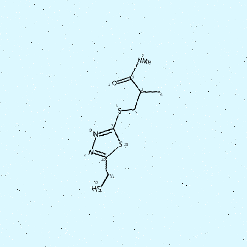 CNC(=O)C(C)CSc1nnc(CS)s1